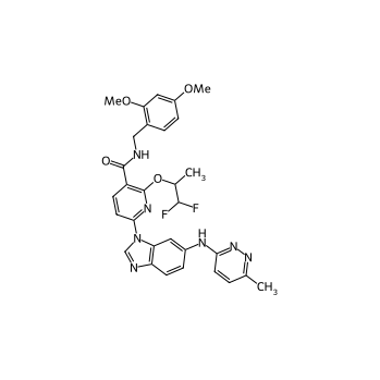 COc1ccc(CNC(=O)c2ccc(-n3cnc4ccc(Nc5ccc(C)nn5)cc43)nc2OC(C)C(F)F)c(OC)c1